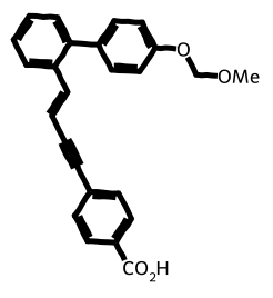 COCOc1ccc(-c2ccccc2/C=C/C#Cc2ccc(C(=O)O)cc2)cc1